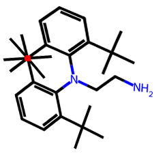 CC(C)(C)c1cccc(C(C)(C)C)c1N(CCN)c1c(C(C)(C)C)cccc1C(C)(C)C